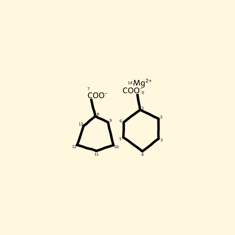 O=C([O-])C1CCCCC1.O=C([O-])C1CCCCC1.[Mg+2]